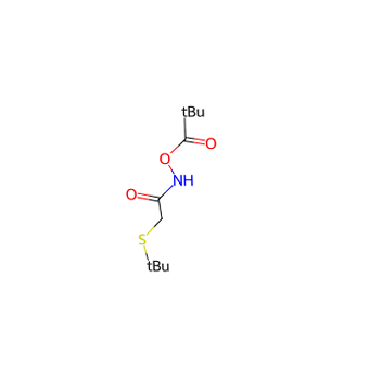 CC(C)(C)SCC(=O)NOC(=O)C(C)(C)C